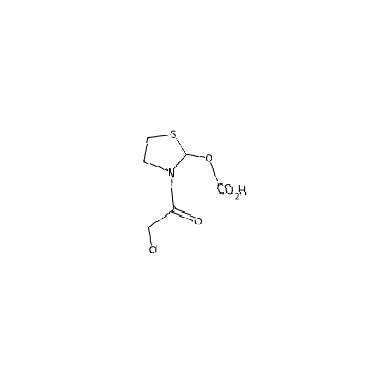 O=C(O)OC1SCCN1C(=O)CCl